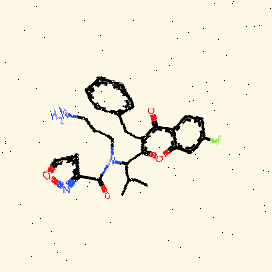 CC(C)C(c1oc2cc(F)ccc2c(=O)c1Cc1ccccc1)N(CCCN)C(=O)c1ccon1